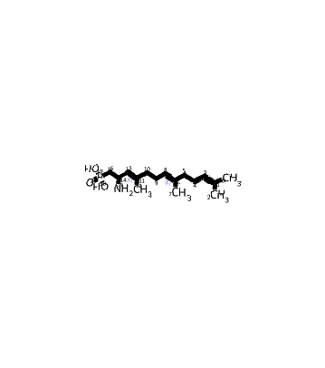 CC(C)=CCC/C(C)=C/CC/C(C)=C/C(N)CP(=O)(O)O